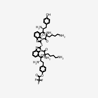 C[C@](N)(CCCCN)C(=O)n1c(Sc2nc3cccc(C(=O)[C@@H](N)Cc4ccc(OC(=O)C(F)(F)F)cc4)c3n2C(=O)[C@@](C)(N)CCCCN)nc2cccc(C(=O)[C@@H](N)Cc3ccc(O)cc3)c21